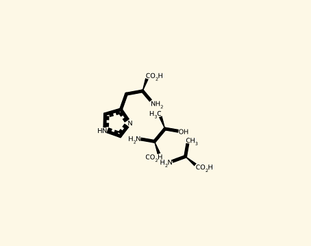 C[C@@H](O)[C@H](N)C(=O)O.C[C@H](N)C(=O)O.N[C@@H](Cc1c[nH]cn1)C(=O)O